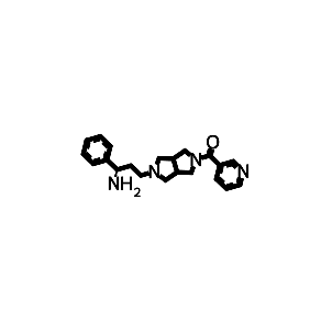 N[C@@H](CCN1CC2CN(C(=O)c3cccnc3)CC2C1)c1ccccc1